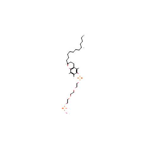 CCC(C)OP(=O)(O)OCCOCCOCCOP(=O)(O)Oc1c(C)c(C)c2c(c1C)CC[C@@](C)(CCC[C@H](C)CCC[C@H](C)CCCC(C)C)O2